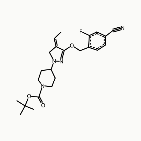 CC=C1CN(C2CCN(C(=O)OC(C)(C)C)CC2)N=C1OCc1ccc(C#N)cc1F